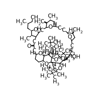 C=C1C2C[C@@H]3O[C@H](C[C@H](C)CC)[C@H](C)C3CC(=O)C[C@H]3CC[C@@H]4O[C@H]([C@@H](O[Si](C)(C)C(C)(C)C)[C@@H](O[Si](C)(C)C(C)(C)C)[C@H]4O3)[C@@H](O[Si](C)(C)C(C)(C)C)/C=C/C(O)CCC3CC(=C)[C@H](CC[C@@H](C[C@H]1C)O2)O3